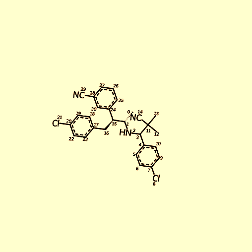 C[C@H](NC(c1ccc(Cl)cc1)C(C)(C)C#N)[C@@H](Cc1ccc(Cl)cc1)c1cccc(C#N)c1